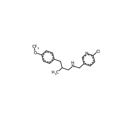 CC(CNCc1ccc(Cl)nc1)Cc1ccc(OC(F)(F)F)cc1